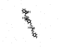 O=C(COCc1ccc(F)cc1)NCCCc1ccc(S(=O)(=O)NCCc2c[nH]c3ccccc23)cc1